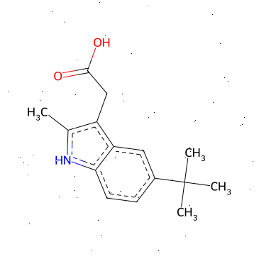 Cc1[nH]c2ccc(C(C)(C)C)cc2c1CC(=O)O